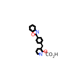 O=C(O)Oc1ncccc1Cc1ccc(-c2nc3ccccc3o2)cc1